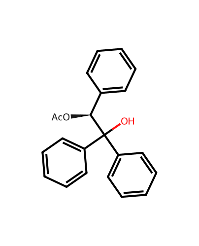 CC(=O)O[C@@H](c1ccccc1)C(O)(c1ccccc1)c1ccccc1